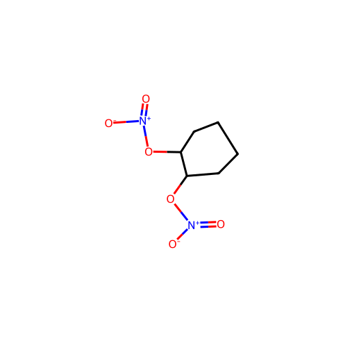 O=[N+]([O-])OC1CCCCC1O[N+](=O)[O-]